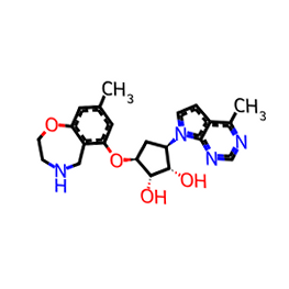 Cc1cc2c(c(O[C@H]3C[C@@H](n4ccc5c(C)ncnc54)[C@H](O)[C@@H]3O)c1)CNCCO2